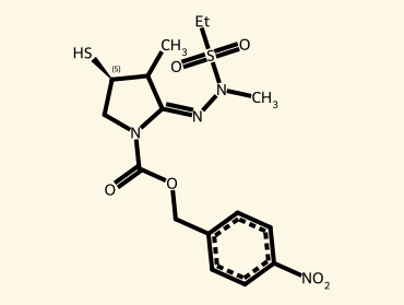 CCS(=O)(=O)N(C)N=C1C(C)[C@H](S)CN1C(=O)OCc1ccc([N+](=O)[O-])cc1